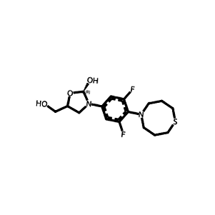 OCC1CN(c2cc(F)c(N3CCCSCCC3)c(F)c2)[C@H](O)O1